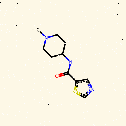 CN1CCC(NC(=O)c2cncs2)CC1